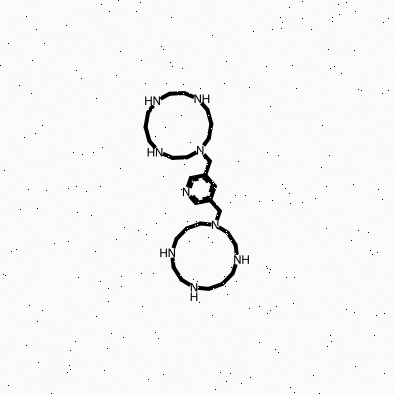 c1ncc(CN2CCCNCCNCCCNCC2)cc1CN1CCCNCCNCCCNCC1